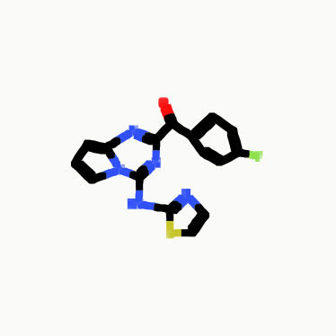 O=C(c1ccc(F)cc1)c1nc(Nc2nccs2)n2cccc2n1